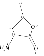 CC1CC(N)C(=O)O1